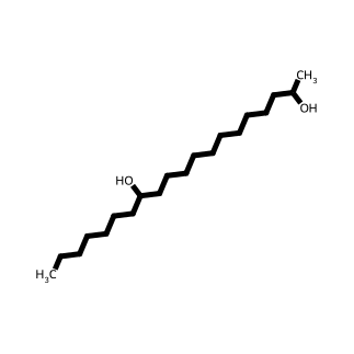 CCCCCCCC(O)CCCCCCCCCCC(C)O